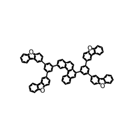 c1ccc2c(c1)cc(-c1cc(-c3ccc4oc5ccccc5c4c3)cc(-c3ccc4oc5ccccc5c4c3)c1)c1ccc3ccc(-c4cc(-c5ccc6oc7ccccc7c6c5)cc(-c5ccc6oc7ccccc7c6c5)c4)cc3c12